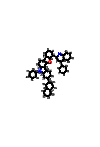 c1ccc(-c2cc(-c3cccc4c3oc3c4ccc4c3c3ccc(-c5ccc6ccccc6c5)cc3n4-c3ccccc3)nc3ccccc23)cc1